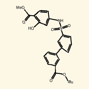 CCC(C)OC(=O)c1cccc(-c2cccc(S(=O)(=O)Nc3ccc(C(=O)OC)c(O)c3)c2)c1